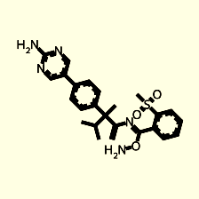 C=C(/N=C(\ON)c1ccccc1S(C)(=O)=O)C(C)(c1ccc(-c2cnc(N)nc2)cc1)C(C)C